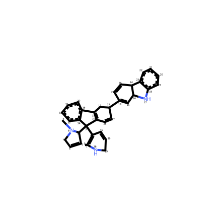 CC1=C(C2(C3C=CCN3C)C3=C(CC(C4=CC5Nc6ccccc6C5C=C4)C=C3)c3ccccc32)C=CCN1